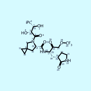 CC(C)[C@H](O)[C@@H](O)C(=O)N1CC2(CC2)C[C@H]1C(=O)N[C@@H](C[C@@H]1CCNC1=O)C(=O)COC(F)(F)F